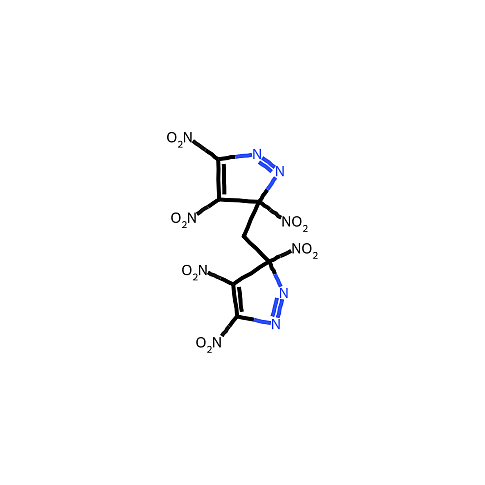 O=[N+]([O-])C1=C([N+](=O)[O-])C(CC2([N+](=O)[O-])N=NC([N+](=O)[O-])=C2[N+](=O)[O-])([N+](=O)[O-])N=N1